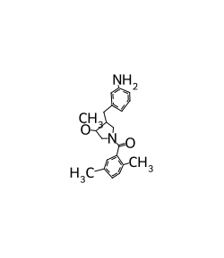 COC1CN(C(=O)c2cc(C)ccc2C)CC1Cc1cccc(N)c1